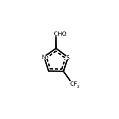 O=Cc1ncc(C(F)(F)F)s1